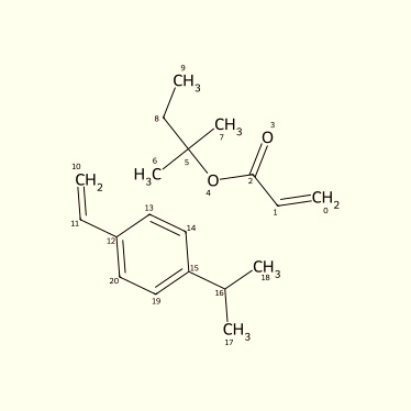 C=CC(=O)OC(C)(C)CC.C=Cc1ccc(C(C)C)cc1